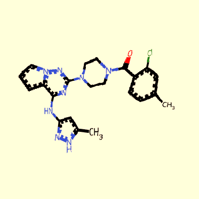 Cc1ccc(C(=O)N2CCN(c3nc(Nc4cc(C)[nH]n4)c4cccn4n3)CC2)c(Cl)c1